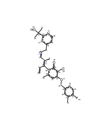 C=C/C(=C(C)\C=N/Cc1ccnc(C(C)(C)O)n1)n1c(C)cc(OCc2cc(C)c(F)cn2)c(Cl)c1=O